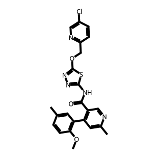 COc1ccc(C)cc1-c1cc(C)ncc1C(=O)Nc1nnc(OCc2ccc(Cl)cn2)s1